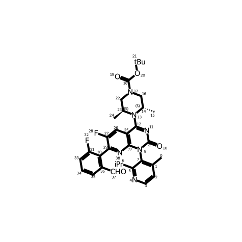 Cc1ccnc(C(C)C)c1-n1c(=O)nc(N2[C@@H](C)CN(C(=O)OC(C)(C)C)C[C@@H]2C)c2cc(F)c(-c3c(F)cccc3C=O)nc21